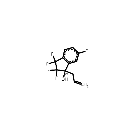 C=CC[C@@]1(O)c2cc(F)ccc2C(F)(F)C1(F)F